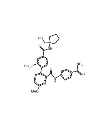 COc1ccc(-c2ccc(C(=O)NC3(CO)CCCC3)cc2C(=O)O)c(C(=O)Nc2ccc(C(=N)N)cc2)n1